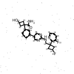 NC(=O)C1(c2cccc(-c3cnc(NCC4(c5ncccc5F)CC(F)C4)nc3)c2)CC(O)C1